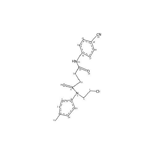 Cc1ccc(N(CCCl)C(=O)CCC(=O)Nc2ccc(C#N)cc2)cc1